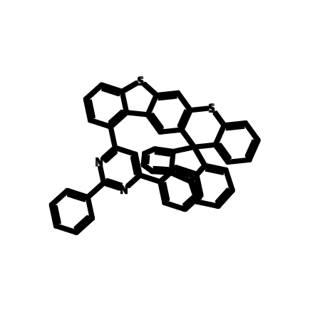 c1ccc(-c2cc(-c3cccc4sc5cc6c(cc5c34)C3(c4ccccc4S6)c4ccccc4-c4ccccc43)nc(-c3ccccc3)n2)cc1